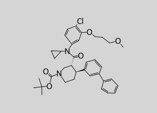 COCCCOc1cc(N(C(=O)[C@H]2CN(C(=O)OC(C)(C)C)CC[C@@H]2c2cccc(-c3ccccc3)c2)C2CC2)ccc1Cl